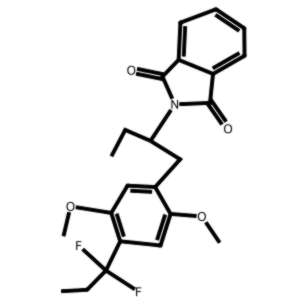 CCC(Cc1cc(OC)c(C(F)(F)CC)cc1OC)N1C(=O)c2ccccc2C1=O